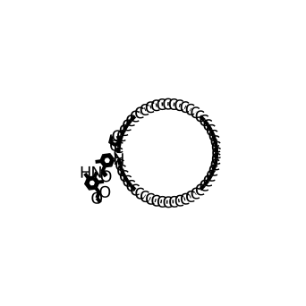 COC(=O)c1ccc(C)c(NC(=O)c2cc(N3CCCCCCCCCCCCCCCCCCCCCCCCCCCCCCCCCCCCCCCCCCCCCCCCC4(CC3)OCCO4)ccc2C)c1C